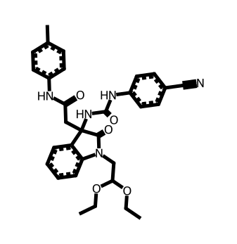 CCOC(CN1C(=O)C(CC(=O)Nc2ccc(C)cc2)(NC(=O)Nc2ccc(C#N)cc2)c2ccccc21)OCC